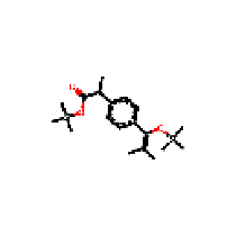 CC(C)=C(O[Si](C)(C)C)c1ccc(C(C)C(=O)O[Si](C)(C)C)cc1